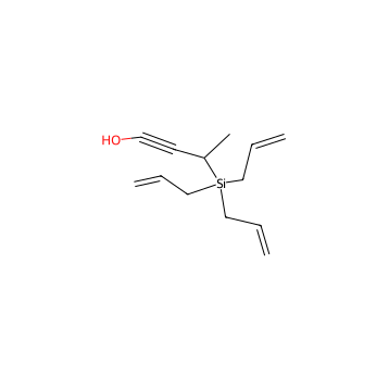 C=CC[Si](CC=C)(CC=C)C(C)C#CO